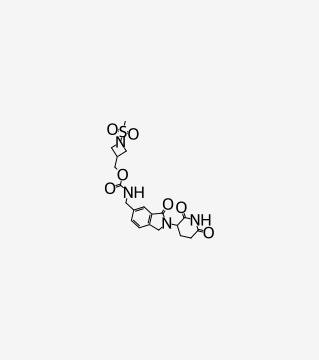 CS(=O)(=O)N1CC(COC(=O)NCc2ccc3c(c2)C(=O)N(C2CCC(=O)NC2=O)C3)C1